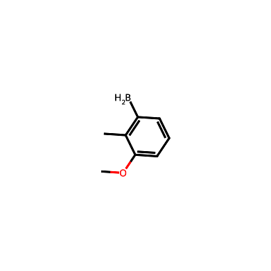 Bc1cccc(OC)c1C